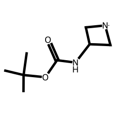 CC(C)(C)OC(=O)NC1C[N]C1